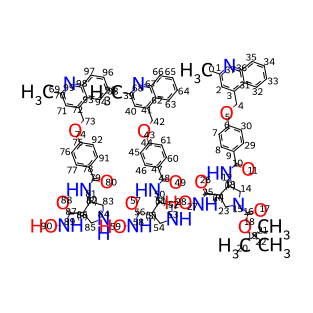 Cc1cc(COc2ccc(C(=O)N[C@H]3CN(C(=O)OC(C)(C)C)C[C@H]3C(=O)NO)cc2)c2ccccc2n1.Cc1cc(COc2ccc(C(=O)N[C@H]3CNC[C@@H]3C(=O)NO)cc2)c2ccccc2n1.Cc1cc(COc2ccc(C(=O)N[C@H]3CNC[C@H]3C(=O)NO)cc2)c2ccccc2n1